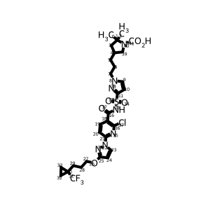 CC1(C)CC(CCCn2ccc(S(=O)(=O)NC(=O)c3ccc(-n4ccc(OCCCC5(C(F)(F)F)CC5)n4)nc3Cl)n2)CN1C(=O)O